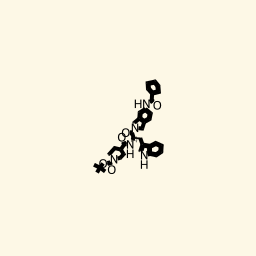 CC(C)(C)OC(=O)N1CCC(C(=O)N[C@H](Cc2c[nH]c3ccccc23)C(=O)N2Cc3ccc(NC(=O)c4ccccc4)cc3C2)CC1